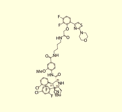 COc1cc(C(=O)NCCCCNC(=O)COc2c(-c3csc(N4CCOCC4)n3)ccc(F)c2F)ccc1NC(=O)[C@@H]1N[C@@H](CC(C)(C)C)[C@](C#N)(c2ccc(Cl)cc2F)[C@H]1c1cccc(Cl)c1F